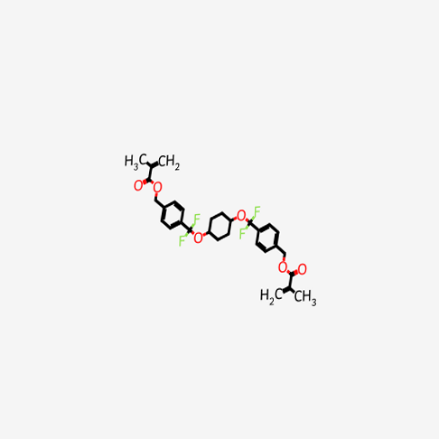 C=C(C)C(=O)OCc1ccc(C(F)(F)OC2CCC(OC(F)(F)c3ccc(COC(=O)C(=C)C)cc3)CC2)cc1